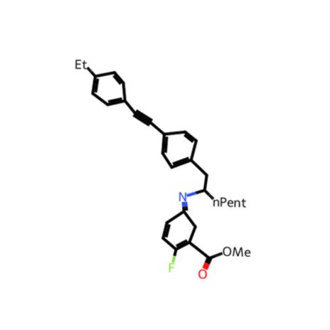 CCCCCC(Cc1ccc(C#Cc2ccc(CC)cc2)cc1)N=C1C=CC(F)=C(C(=O)OC)C1